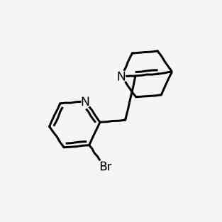 Brc1cccnc1CC1=CC2CCN1CC2